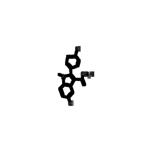 C=C(C(=O)O)c1c(-c2ccc(Cl)cc2)n(C)c2ccc(Cl)cc12